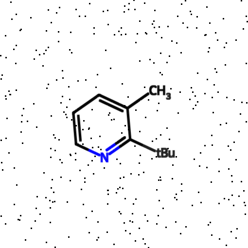 [CH2]C(C)(C)c1ncccc1C